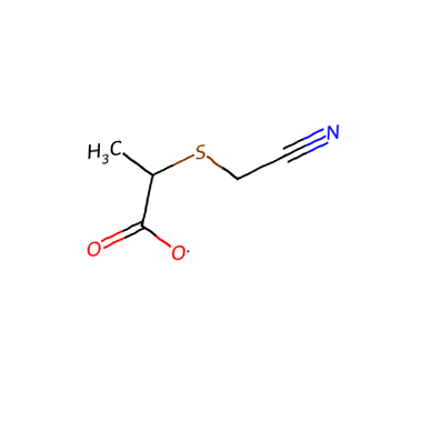 CC(SCC#N)C([O])=O